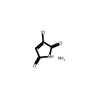 CCC1=CC(=O)NC1=O.N